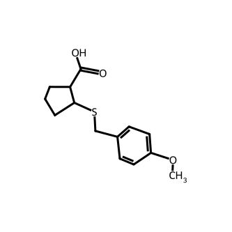 COc1ccc(CSC2CCCC2C(=O)O)cc1